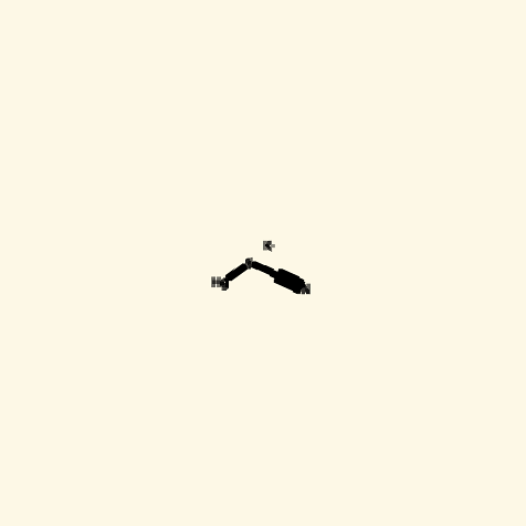 N#C[S][Hg].[K]